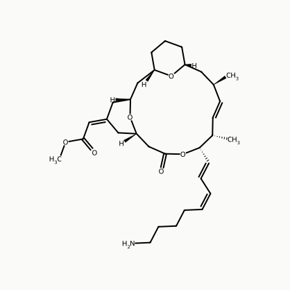 COC(=O)/C=C1\C[C@H]2CC(=O)O[C@@H](/C=C/C=C\CCCCN)[C@@H](C)/C=C/[C@H](C)C[C@H]3CCC[C@@H](C[C@@H](C1)O2)O3